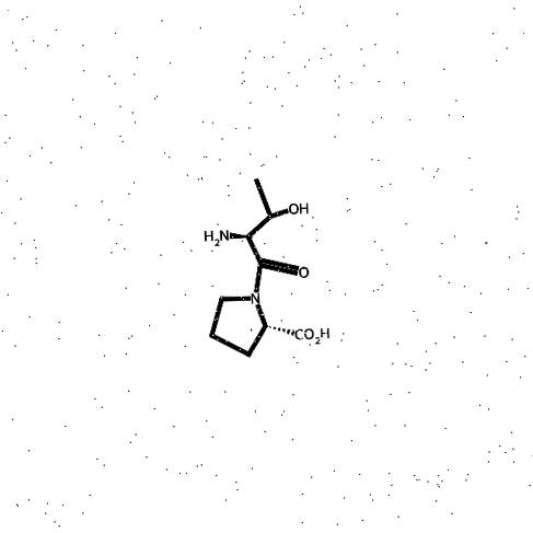 CC(O)[C@H](N)C(=O)N1CCC[C@H]1C(=O)O